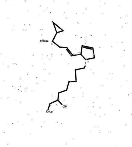 CCCC[C@@H](CC=C[C@H]1C=CC[C@@H]1CCCCCCC(O)COC(C)=O)C1CC1